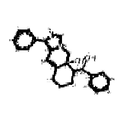 C[C@]12Cn3cnc(-c4ccccc4)c3C=C1CCCC2[C@@H](O)c1ccccc1